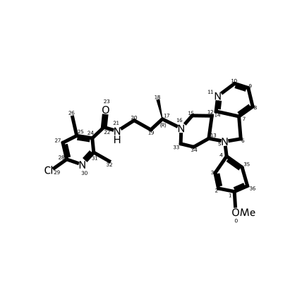 COc1ccc(N(Cc2cccnc2)C2CCN([C@H](C)CCNC(=O)c3c(C)cc(Cl)nc3C)CC2)cc1